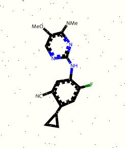 CNc1nc(Nc2cc(C#N)c(C3CC3)cc2F)ncc1OC